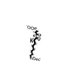 CCCCCCCCCCCCCCCCCC(=O)OC(=O)/C=C/C(=O)[O-].[K+]